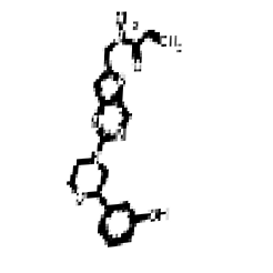 C=CC(=O)N(C)Cc1cc2nc(N3CCOC(c4cccc(O)c4)C3)ncc2s1